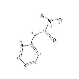 CC(C)N(C(=O)Cc1ccccn1)C(C)C